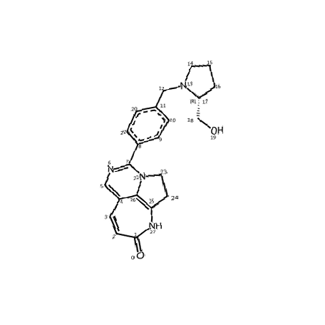 O=C1C=CC2=CN=C(c3ccc(CN4CCC[C@@H]4CO)cc3)N3CCC(=C23)N1